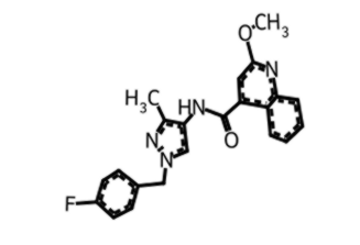 COc1cc(C(=O)Nc2cn(Cc3ccc(F)cc3)nc2C)c2ccccc2n1